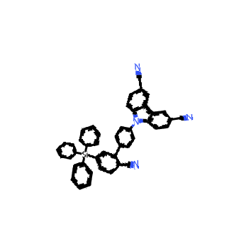 N#Cc1ccc2c(c1)c1cc(C#N)ccc1n2-c1ccc(-c2cc([Si](c3ccccc3)(c3ccccc3)c3ccccc3)ccc2C#N)cc1